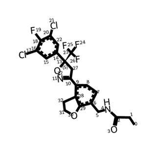 CCC(=O)NCc1ccc(C2=NO[C@@](c3cc(Cl)c(F)c(Cl)c3)(C(F)(F)F)C2)c2c1OCC2